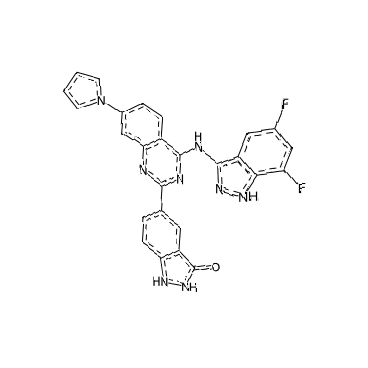 O=c1[nH][nH]c2ccc(-c3nc(Nc4n[nH]c5c(F)cc(F)cc45)c4ccc(-n5cccc5)cc4n3)cc12